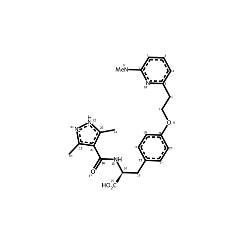 CNc1cccc(CCOc2ccc(C[C@H](NC(=O)c3c(C)n[nH]c3C)C(=O)O)cc2)n1